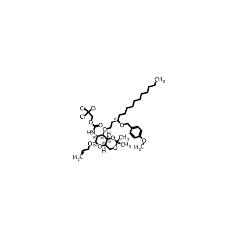 C=CCO[C@H]1O[C@@H]2COC(C)(C)O[C@H]2[C@H](OCC[C@@H](CCCCCCCCCCC)OCc2ccc(OC)cc2)[C@H]1NC(=O)OCC(Cl)(Cl)Cl